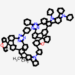 CC1(C)c2cc(-c3ccc4c(c3)-c3c(-c5nc(-c6ccccc6)nc(-c6ccccc6)n5)cccc3C43c4ccccc4Oc4ccccc43)ccc2-c2cc3c(cc21)c1ccccc1n3-c1cccc(-c2cccc3c2Oc2ccccc2C32c3ccc(-c4ccc5c(c4)c4ccc6c(c7ccccc7n6-c6ccccc6)c4n5-c4ccccc4)cc3-c3c(-c4nc(-c5ccccc5)nc(-c5ccccc5)n4)cccc32)c1